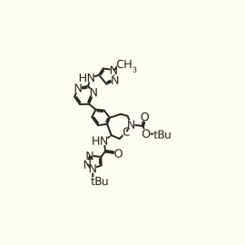 Cn1cc(Nc2nccc(-c3ccc4c(c3)CCN(C(=O)OC(C)(C)C)CC[C@H]4NC(=O)c3cn(C(C)(C)C)nn3)n2)cn1